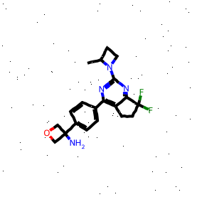 CC1CCN1c1nc(-c2ccc(C3(N)COC3)cc2)c2c(n1)C(F)(F)CC2